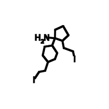 NC1(C2CCC(CCI)CC2)CCCC1CCI